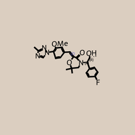 COc1cc(/C=C2\OC(C)(C)CN([C@H](c3ccc(F)cc3)[C@@H](C)O)C2=O)ccc1-n1cnc(C)n1